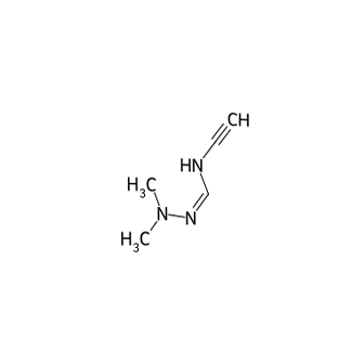 C#CN/C=N\N(C)C